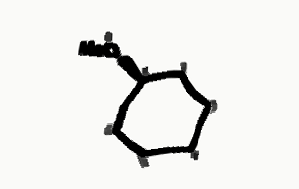 CO[C@H]1C[CH]CCC1